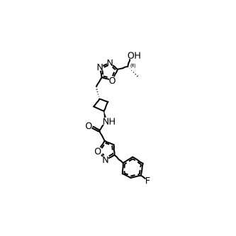 C[C@@H](O)c1nnc(C[C@H]2C[C@H](NC(=O)c3cc(-c4ccc(F)cc4)no3)C2)o1